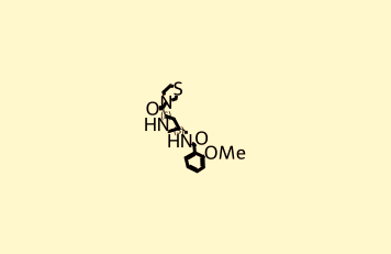 COc1ccccc1C(=O)NC[C@@H]1CN[C@H](C(=O)N2CCSC2)C1